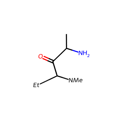 CCC(NC)C(=O)C(C)N